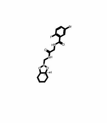 O=C(CNC(=O)c1cc(Br)ccc1F)NCB1OC2CCCC[C@@H]2O1